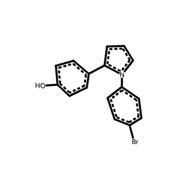 Oc1ccc(-c2cccn2-c2ccc(Br)cc2)cc1